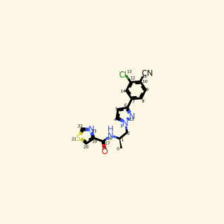 C[C@H](Cn1ccc(-c2ccc(C#N)c(Cl)c2)n1)NC(=O)c1cscn1